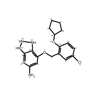 Nc1cc(OCc2cc(Cl)ccc2OC2CCCC2)c2c(n1)NNN2